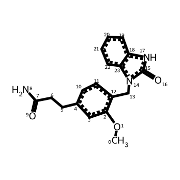 COc1cc(CCC(N)=O)ccc1Cn1c(=O)[nH]c2ccccc21